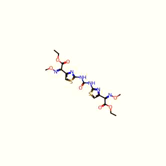 CCOC(=O)C(=NOC)c1csc(NC(=O)Nc2nc(C(=NOC)C(=O)OCC)cs2)n1